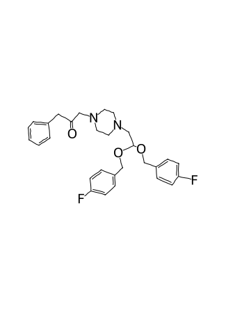 O=C(Cc1ccccc1)CN1CCN(CC(OCc2ccc(F)cc2)OCc2ccc(F)cc2)CC1